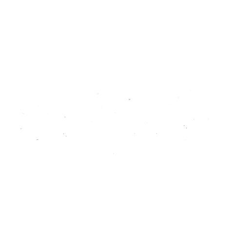 CN1/C(=C\C=C2\CCC(/C=C/C3=[N+](C)c4ccccc4C3(C)C)=C2c2cccs2)C(C)(C)c2ccccc21